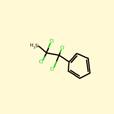 [SiH3]C(Cl)(Cl)C(Cl)(Cl)c1ccccc1